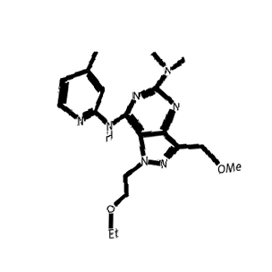 CCOCCn1nc(COC)c2nc(N(C)C)nc(Nc3cc(C)ccn3)c21